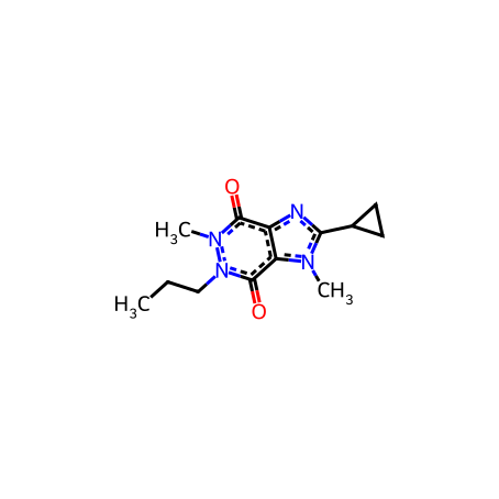 CCCn1c(=O)c2c(nc(C3CC3)n2C)c(=O)n1C